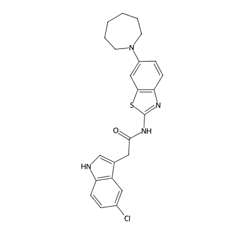 O=C(Cc1c[nH]c2ccc(Cl)cc12)Nc1nc2ccc(N3CCCCCC3)cc2s1